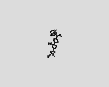 Cn1nc(-c2ccc(-c3ncc(N(C4CC4)[C@@H]4C[C@H]5CC[C@@H](C4)N5)nn3)c(O)c2)nc1C#N